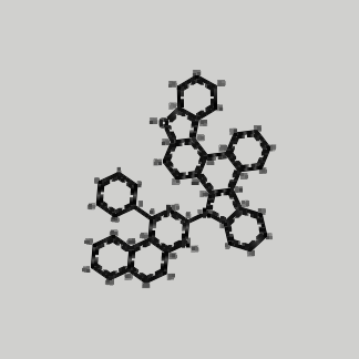 c1ccc(-c2nc(-n3c4ccccc4c4c5ccccc5c5c(ccc6oc7ccccc7c65)c43)nc3ccc4ccccc4c23)cc1